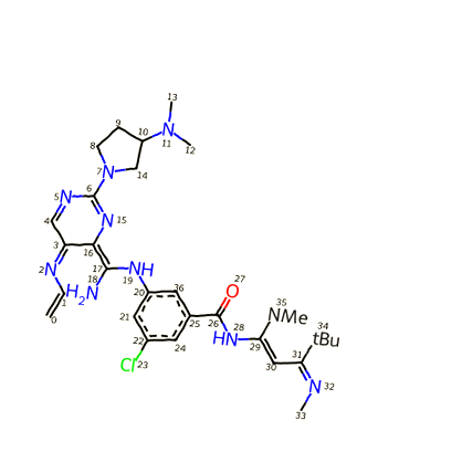 C=C/N=C1/C=NC(N2CCC(N(C)C)C2)=N/C1=C(/N)Nc1cc(Cl)cc(C(=O)N/C(=C/C(=N\C)C(C)(C)C)NC)c1